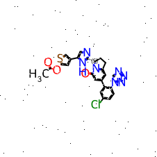 CC(=O)Oc1cc(-c2cnc([C@@H]3CCc4cc(-c5cc(Cl)ccc5-n5cnnn5)cc(=O)n43)[nH]2)cs1